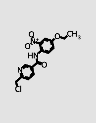 CCOc1ccc(NC(=O)c2ccc(CCl)nc2)c([N+](=O)[O-])c1